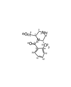 CCCCCCCCC1CNCCN1C(=O)c1ccccc1C(F)(F)F